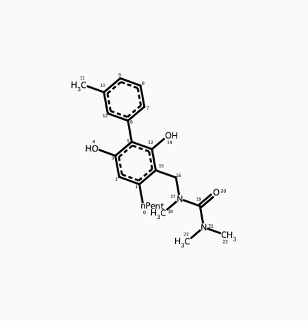 CCCCCc1cc(O)c(-c2cccc(C)c2)c(O)c1CN(C)C(=O)N(C)C